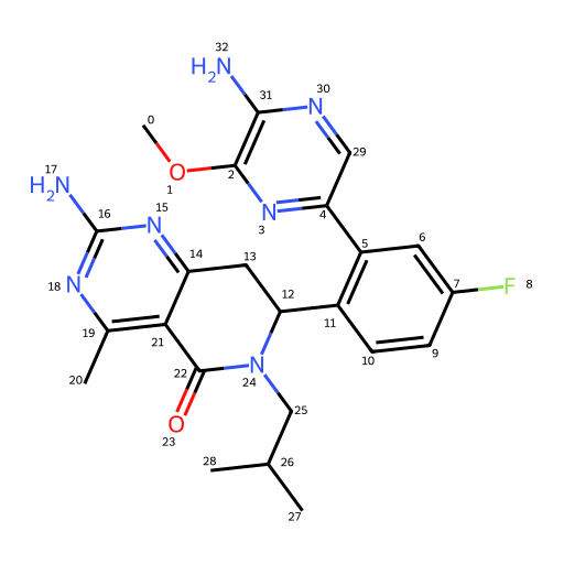 COc1nc(-c2cc(F)ccc2C2Cc3nc(N)nc(C)c3C(=O)N2CC(C)C)cnc1N